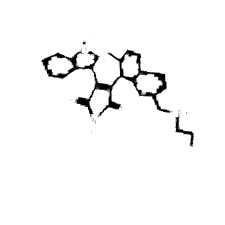 Cn1cc(C2=C(c3c(Cl)ccc4ccc(CNCCF)cc34)C(=O)NC2=O)c2ccccc21